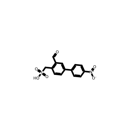 O=Cc1cc(-c2ccc([N+](=O)[O-])cc2)ccc1CS(=O)(=O)O